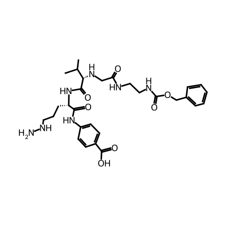 CC(C)[C@H](NCC(=O)NCCNC(=O)OCc1ccccc1)C(=O)N[C@@H](CCCNN)C(=O)Nc1ccc(C(=O)O)cc1